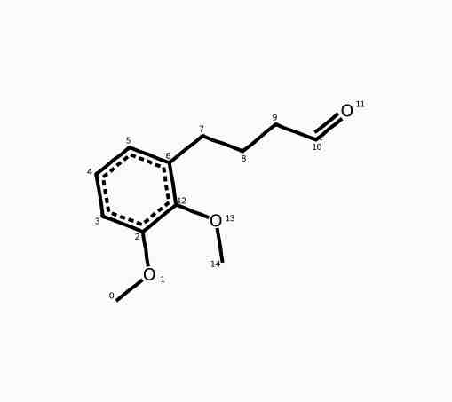 COc1cccc(CCC[C]=O)c1OC